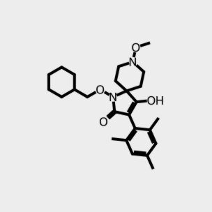 CON1CCC2(CC1)C(O)=C(c1c(C)cc(C)cc1C)C(=O)N2OCC1CCCCC1